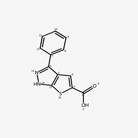 O=C(O)c1cc2c(-c3ccccc3)n[nH]c2s1